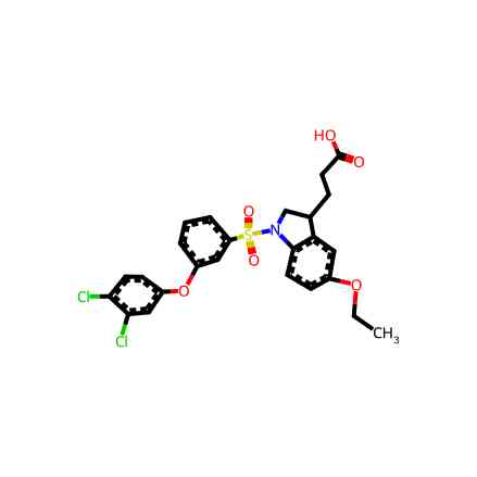 CCOc1ccc2c(c1)C(CCC(=O)O)CN2S(=O)(=O)c1cccc(Oc2ccc(Cl)c(Cl)c2)c1